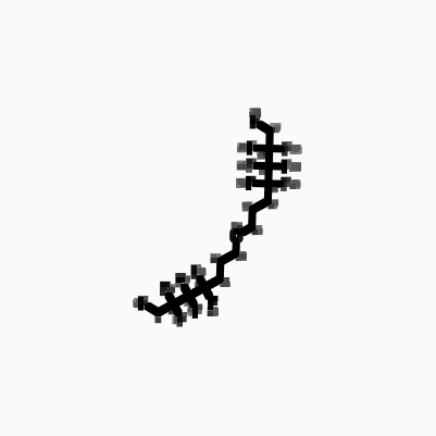 FCC(F)(F)C(F)(F)C(F)(F)CCCOCCCC(F)(F)C(F)(F)C(F)(F)CF